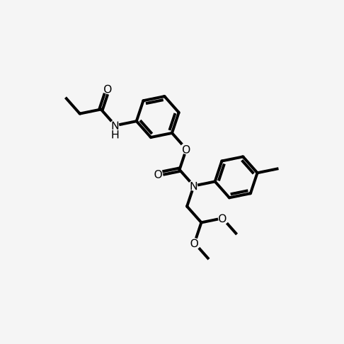 CCC(=O)Nc1cccc(OC(=O)N(CC(OC)OC)c2ccc(C)cc2)c1